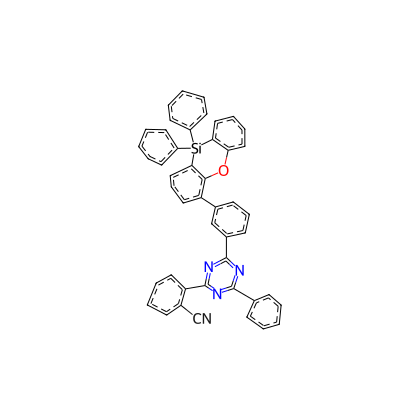 N#Cc1ccccc1-c1nc(-c2ccccc2)nc(-c2cccc(-c3cccc4c3Oc3ccccc3[Si]4(c3ccccc3)c3ccccc3)c2)n1